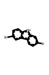 Brc1ccc2c(c1)[nH]c1ccc(Br)cc12